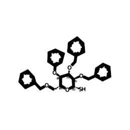 S[C@@H]1O[C@H](COCc2ccccc2)[C@@H](Oc2ccccc2)[C@H](OCc2ccccc2)[C@H]1OCc1ccccc1